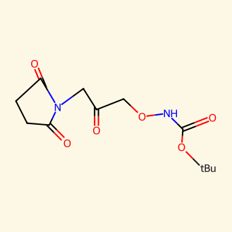 CC(C)(C)OC(=O)NOCC(=O)CN1C(=O)CCC1=O